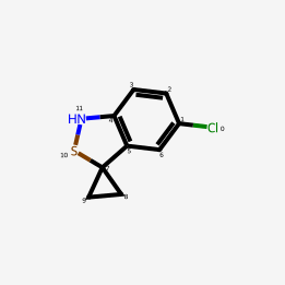 Clc1ccc2c(c1)C1(CC1)SN2